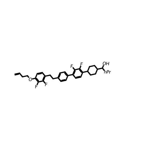 C=CCCOc1ccc(CCc2ccc(-c3ccc(C4CCC(C(O)CCC)CC4)c(F)c3F)cc2)c(F)c1F